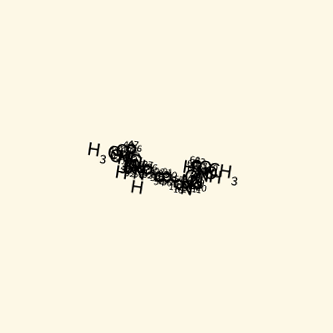 COC(=O)N[C@@H](C(=O)N1CCC[C@H]1c1nc2ccc(-c3ccc4cc(-c5ccc6nc([C@@H]7CCCN7C(=O)[C@H](NC(=O)OC)c7ccccc7)[nH]c6c5)ccc4c3)cc2[nH]1)c1ccccc1